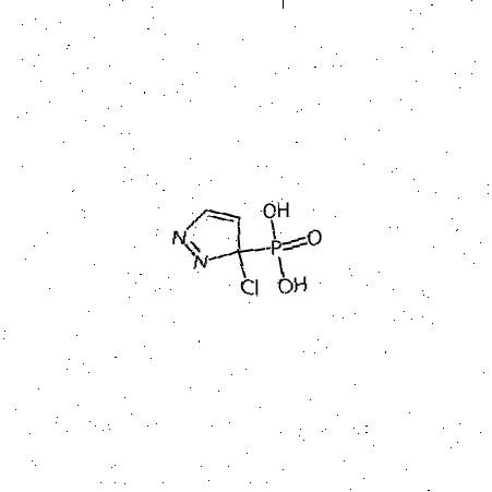 O=P(O)(O)C1(Cl)C=CN=N1